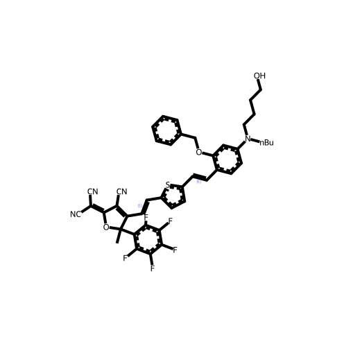 CCCCN(CCCCO)c1ccc(/C=C/c2ccc(/C=C/C3=C(C#N)C(=C(C#N)C#N)OC3(C)c3c(F)c(F)c(F)c(F)c3F)s2)c(OCc2ccccc2)c1